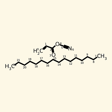 C=CC(=O)OC#N.CCCCCCCCCCCCCCCC